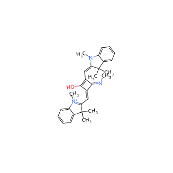 C/N=C1/C(=CC2=[N+](C)c3ccccc3C2(C)C)C(O)=C1C=C1N(C)c2ccccc2C1(C)C